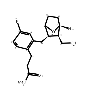 COC(=O)CCc1ccc(F)cc1C[C@H]1C2CC[C@@H](O2)[C@H]1CO